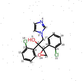 OC(Cn1ccnc1)(c1ccccc1Cl)C1(c2ccccc2Cl)CO1